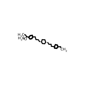 C=Cc1ccc(CCCC[C@H]2CC[C@H](CCCCc3ccc(C(CC)OC)cc3)CC2)cc1